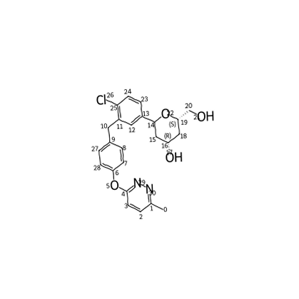 Cc1ccc(Oc2ccc(Cc3cc(C4C[C@@H](O)C[C@@H](CO)O4)ccc3Cl)cc2)nn1